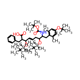 Cc1cc(OC(C)(C)C)cc(C)c1CC(NC(=O)OC(C)(C)C)C(CC=CC(O[Si](C)(C)C(C)(C)C)C(Cc1ccccc1)C(=O)O)O[Si](C)(C)C(C)(C)C